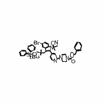 CC(C)(CO[Si](c1ccccc1)(c1ccccc1)C(C)(C)C)Cc1c(-c2ccnc(N3CCN(C(=O)OCc4ccccc4)CC3)c2)n(C(C)(C)C#N)c2ccc(Br)cc12